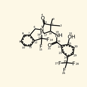 CC1(C)C(=O)N(Cc2ccccc2C(F)(F)F)CC1NC(=O)c1cc(C(F)(F)F)ccc1O